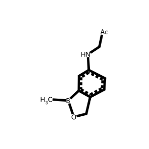 CB1OCc2ccc(NCC(C)=O)cc21